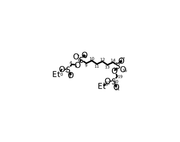 CCOS(=O)COS(=O)(=O)CCCCCCS(=O)(=O)OCS(=O)OCC